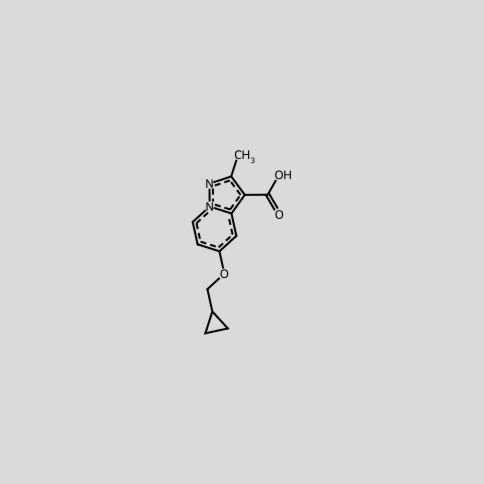 Cc1nn2ccc(OCC3CC3)cc2c1C(=O)O